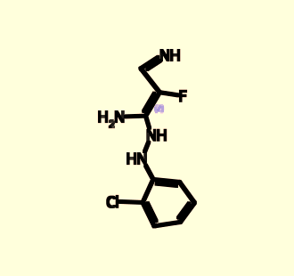 N=C/C(F)=C(\N)NNc1ccccc1Cl